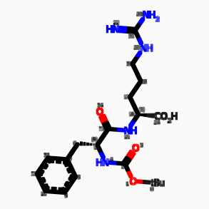 CC(C)(C)OC(=O)N[C@H](Cc1ccccc1)C(=O)N[C@@H](CCCNC(=N)N)C(=O)O